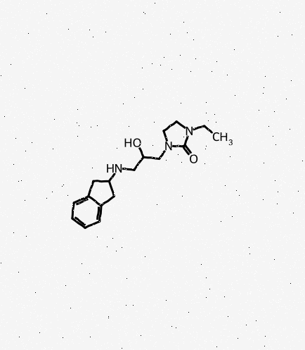 CCN1CCN(CC(O)CNC2Cc3ccccc3C2)C1=O